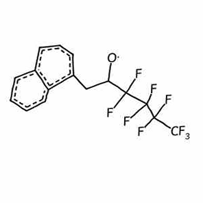 [O]C(Cc1cccc2ccccc12)C(F)(F)C(F)(F)C(F)(F)C(F)(F)F